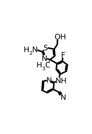 C[C@@]1(c2cc(Nc3ncccc3C#N)ccc2F)C=C(CO)SC(N)=N1